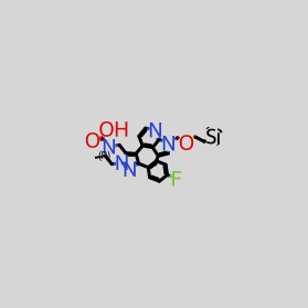 Cc1cn(COCC[Si](C)(C)C)c2nccc(-c3c(-c4ccc(F)cc4)nn4c3CN(C(=O)O)[C@H](C)C4)c12